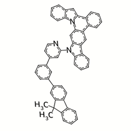 CC1(C)c2ccccc2-c2ccc(-c3cccc(-c4ccnc(-n5c6ccccc6c6cc7c8ccccc8c8cc9ccccc9n8c7cc65)c4)c3)cc21